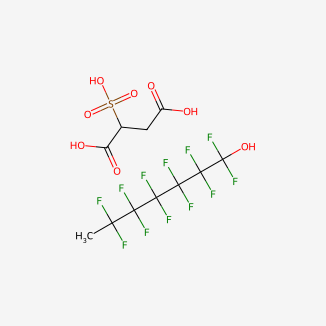 CC(F)(F)C(F)(F)C(F)(F)C(F)(F)C(F)(F)C(O)(F)F.O=C(O)CC(C(=O)O)S(=O)(=O)O